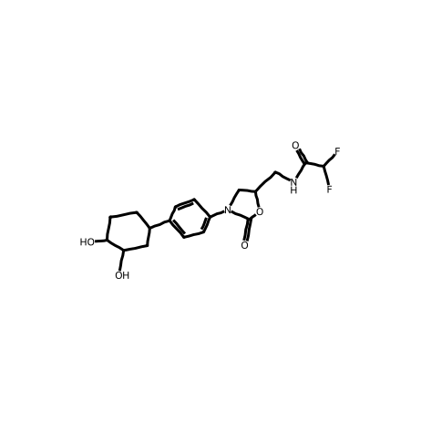 O=C(NCC1CN(c2ccc(C3CCC(O)C(O)C3)cc2)C(=O)O1)C(F)F